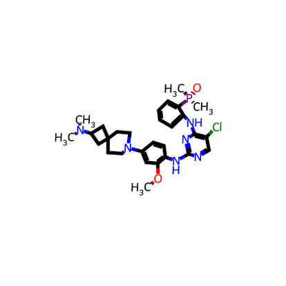 COc1cc(N2CCC3(CC2)CC(N(C)C)C3)ccc1Nc1ncc(Cl)c(Nc2ccccc2P(C)(C)=O)n1